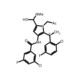 CNC(O)c1cc(NC(=O)c2cc(F)cc(Cl)c2)c([C@@H](C)c2cc(F)ccc2Cl)n1CC(C)=O